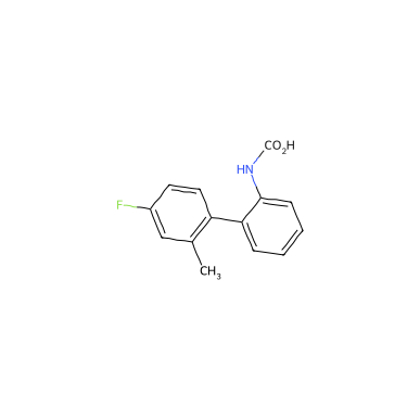 Cc1cc(F)ccc1-c1ccccc1NC(=O)O